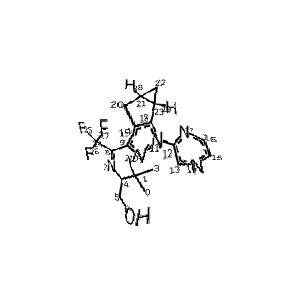 CC(C)(C)C(CO)/N=C(\c1nn(-c2cnccn2)c2c1C[C@@H]1C[C@H]21)C(F)(F)F